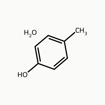 Cc1ccc(O)cc1.O